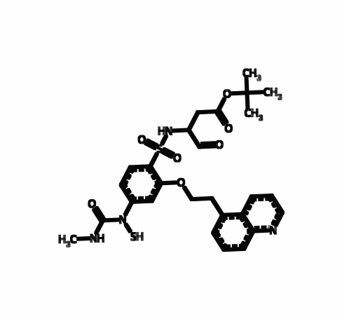 CNC(=O)N(S)c1ccc(S(=O)(=O)NC(C=O)CC(=O)OC(C)(C)C)c(OCCc2cccc3ncccc23)c1